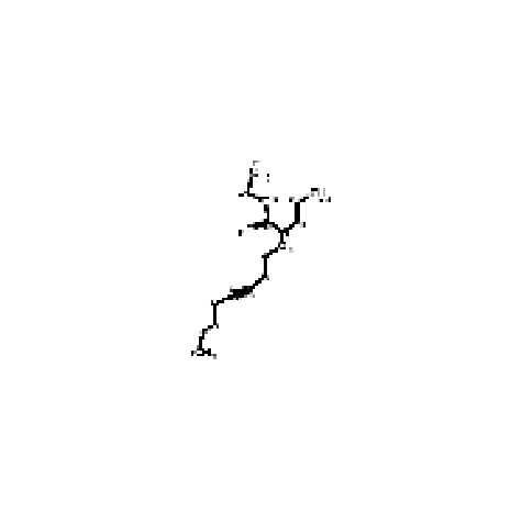 CCCCC#CCCOC(CCC)C(=O)OCC